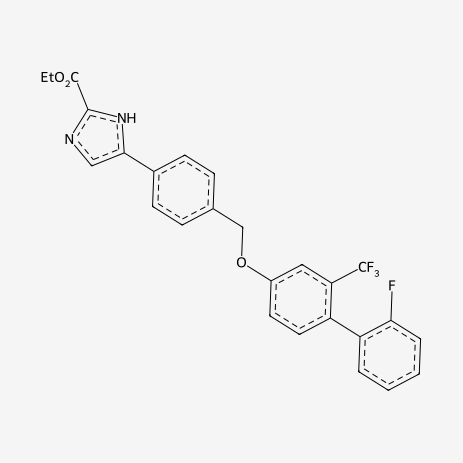 CCOC(=O)c1ncc(-c2ccc(COc3ccc(-c4ccccc4F)c(C(F)(F)F)c3)cc2)[nH]1